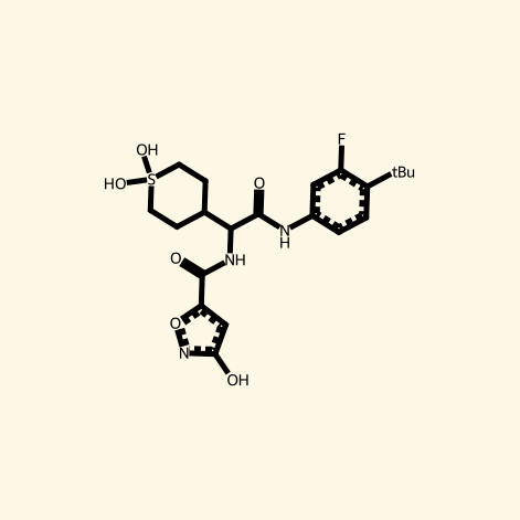 CC(C)(C)c1ccc(NC(=O)C(NC(=O)c2cc(O)no2)C2CCS(O)(O)CC2)cc1F